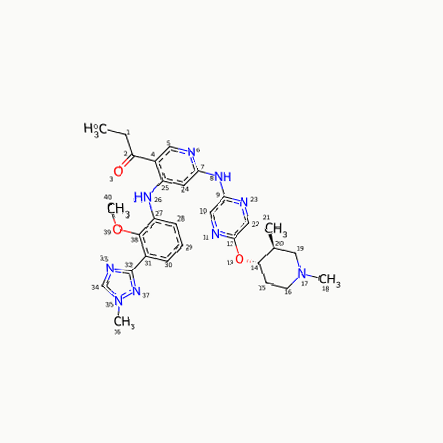 CCC(=O)c1cnc(Nc2cnc(O[C@H]3CCN(C)C[C@@H]3C)cn2)cc1Nc1cccc(-c2ncn(C)n2)c1OC